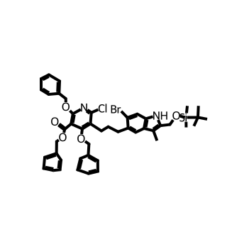 Cc1c(CO[Si](C)(C)C(C)(C)C)[nH]c2cc(Br)c(CCCc3c(Cl)nc(OCc4ccccc4)c(C(=O)OCc4ccccc4)c3OCc3ccccc3)cc12